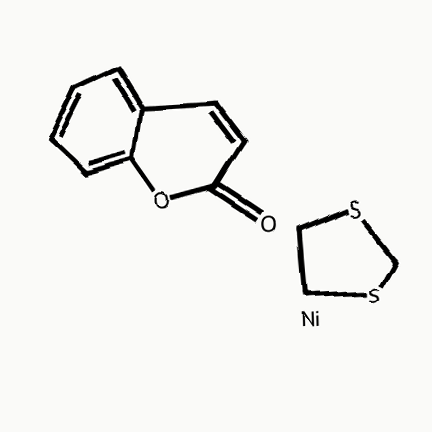 C1CSCS1.O=c1ccc2ccccc2o1.[Ni]